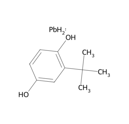 CC(C)(C)c1cc(O)ccc1O.[PbH2]